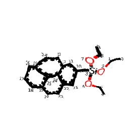 CCO[Si](OCC)(OCC)c1cc2ccc3cccc4ccc(c1)c2c34